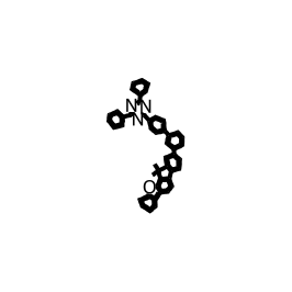 CC1(C)c2cc(-c3cccc(-c4ccc(-c5nc(-c6ccccc6)nc(-c6ccccc6)n5)cc4)c3)ccc2-c2ccc3c(oc4ccccc43)c21